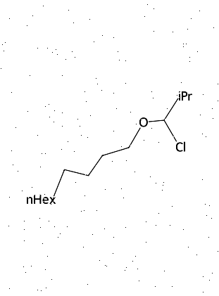 CCCCCCCCCCOC(Cl)C(C)C